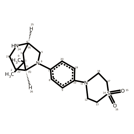 CC1(C)C[C@@H]2CN(c3ccc(N4CCS(=O)(=O)CC4)cc3)[C@H]1CCN2